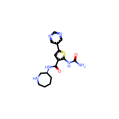 NC(=O)Nc1sc(-c2cncnc2)cc1C(=O)N[C@H]1CCCCNC1